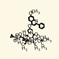 C=CC(=O)NC[C@@H](C(=O)N1C[C@H](Oc2cc(-c3ccccc3)nc3cc(OC)ccc23)C[C@H]1C(=O)N[C@]1(C(=O)NS(=O)(=O)C2CC2)C[C@H]1C=C)N(CC)C(=O)OC(C)(C)C